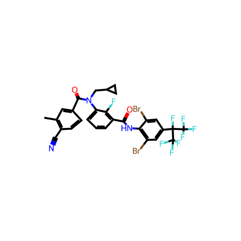 Cc1cc(C(=O)N(CC2CC2)c2cccc(C(=O)Nc3c(Br)cc(C(F)(C(F)(F)F)C(F)(F)F)cc3Br)c2F)ccc1C#N